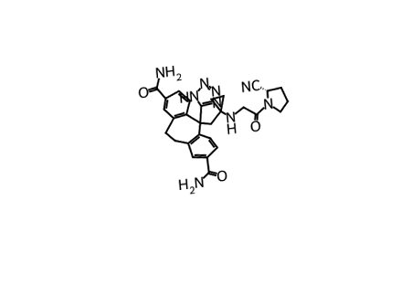 N#C[C@@H]1CCCN1C(=O)CNC1(CC2(c3nnn[nH]3)c3ccc(C(N)=O)cc3CCc3cc(C(N)=O)ccc32)CC1